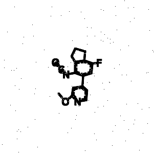 COc1cc(-c2cc(F)c3c(c2N=C=O)CCC3)ccn1